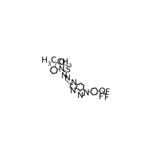 CC(C)c1ccccc1N1C(=O)CSC1=NN=Cc1cnc2c(ccc3c2ncn3-c2ccc(OC(F)(F)F)cc2)n1